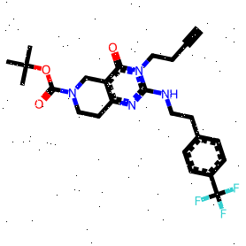 C#CCCn1c(NCCc2ccc(C(F)(F)F)cc2)nc2c(c1=O)CN(C(=O)OC(C)(C)C)CC2